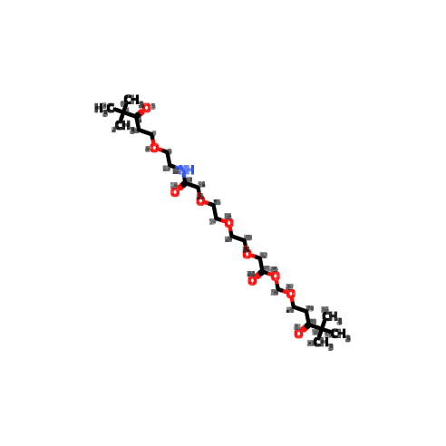 CC(C)(C)C(=O)CCOCCNC(=O)COCCOCCOCC(=O)OCOCCC(=O)C(C)(C)C